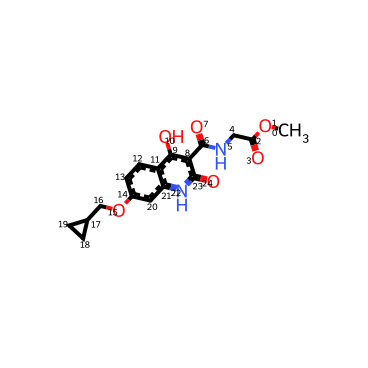 COC(=O)CNC(=O)c1c(O)c2ccc(OCC3CC3)cc2[nH]c1=O